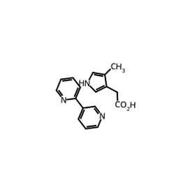 Cc1c[nH]cc1CC(=O)O.c1ccc(-c2cccnc2)nc1